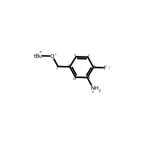 CC(C)(C)OCc1ccc(F)c(N)c1